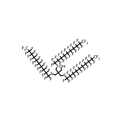 OCC(CSC(F)(F)C(F)(F)C(F)(F)C(F)(F)C(F)(F)C(F)(F)C(F)(F)C(F)(F)C(F)(F)C(F)(F)F)(CSC(F)(F)C(F)(F)C(F)(F)C(F)(F)C(F)(F)C(F)(F)C(F)(F)C(F)(F)C(F)(F)C(F)(F)F)CSC(F)(F)C(F)(F)C(F)(F)C(F)(F)C(F)(F)C(F)(F)C(F)(F)C(F)(F)C(F)(F)C(F)(F)F